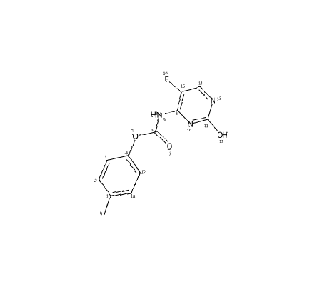 Cc1ccc(OC(=O)Nc2nc(O)ncc2F)cc1